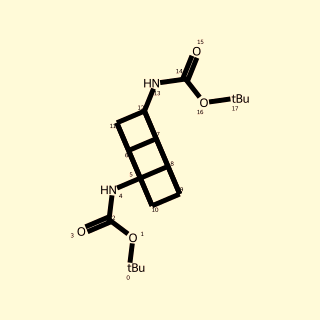 CC(C)(C)OC(=O)NC12C3C4C1C1C2C3C41NC(=O)OC(C)(C)C